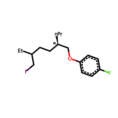 CCC[C@H](CCC(CC)CI)COc1ccc(F)cc1